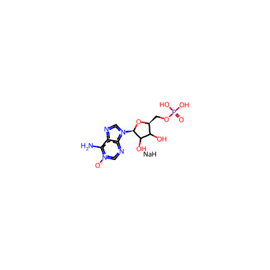 Nc1c2ncn([C@H]3O[C@@H](COP(=O)(O)O)C(O)C3O)c2nc[n+]1[O-].[NaH]